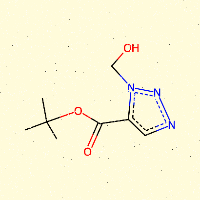 CC(C)(C)OC(=O)c1cnnn1CO